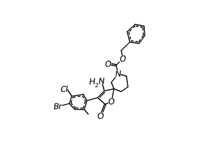 Cc1cc(Br)c(Cl)cc1C1=C(N)C2(CCCN(C(=O)OCc3ccccc3)C2)OC1=O